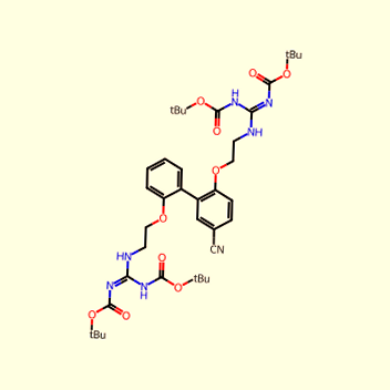 CC(C)(C)OC(=O)/N=C(/NCCOc1ccccc1-c1cc(C#N)ccc1OCCN/C(=N/C(=O)OC(C)(C)C)NC(=O)OC(C)(C)C)NC(=O)OC(C)(C)C